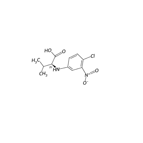 CC(C)[C@H](Nc1ccc(Cl)c([N+](=O)[O-])c1)C(=O)O